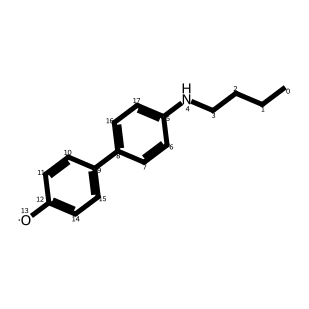 CCCCNc1ccc(-c2ccc([O])cc2)cc1